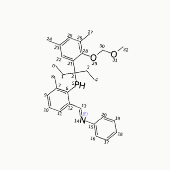 CCC(CC)(Pc1c(C)cccc1/C=N/c1ccccc1)c1cc(C)cc(C)c1OCOC